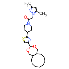 Cc1cc(C(F)(F)F)nn1CC(=O)N1CCC(c2nc(C3OCC4CCCCCCCCC4CO3)cs2)CC1